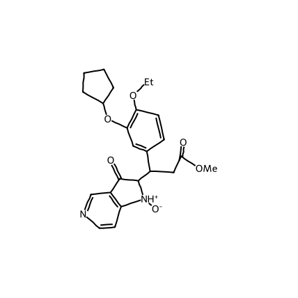 CCOc1ccc(C(CC(=O)OC)C2C(=O)c3cnccc3[NH+]2[O-])cc1OC1CCCC1